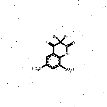 O=C1Nc2c(cc(S(=O)(=O)O)cc2S(=O)(=O)O)C(=O)C1(Br)Br